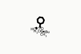 C#C[C@@H](O[Si](C)(C)C(C)(C)C)C1CCCCCC1